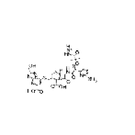 CC(C)(ON=C(C(=O)NC1C(=O)N2C(C(=O)O)=C(CSc3cc(C(=O)O)nc4nc(CO)nn34)CS[C@@H]12)c1csc(N)n1)C(=O)NN